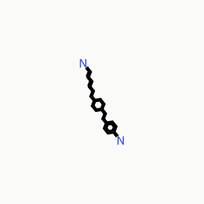 N#CC=CC=CCCC1CCC(CCc2ccc(C#N)cc2)CC1